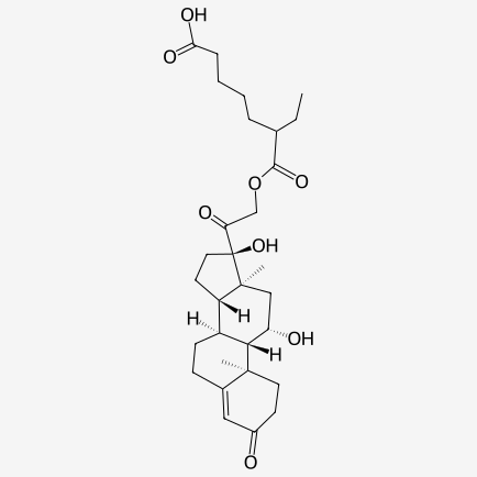 CCC(CCCCC(=O)O)C(=O)OCC(=O)[C@@]1(O)CC[C@H]2[C@@H]3CCC4=CC(=O)CC[C@]4(C)[C@H]3[C@@H](O)C[C@@]21C